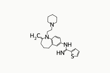 C=C1CCCc2cc(NC(=N)c3cccs3)ccc2N1CCN1CCCCC1